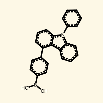 OB(O)c1ccc(-c2cccc3c2c2ccccc2n3-c2ccccc2)cc1